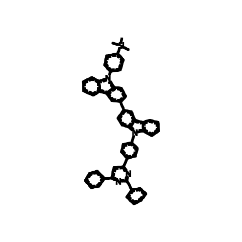 C[Si](C)(C)c1ccc(-n2c3ccccc3c3cc(-c4ccc5c(c4)c4ccccc4n5-c4ccc(-c5cc(-c6ccccc6)nc(-c6ccccc6)n5)cc4)ccc32)cc1